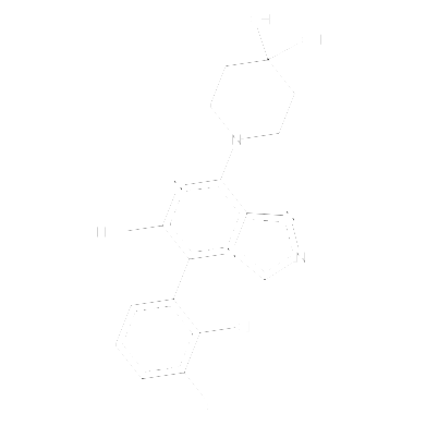 Cc1nc(N2CCC(C)(C)CC2)c2nncn2c1-c1cccc(Cl)c1Cl